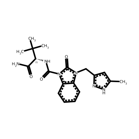 Cc1cc(Cn2c(=O)n(C(=O)N[C@H](C(N)=O)C(C)(C)C)c3ccccc32)n[nH]1